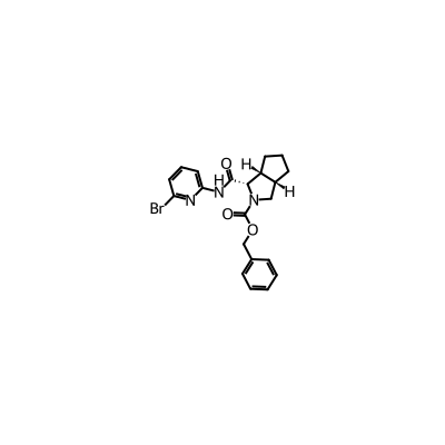 O=C(Nc1cccc(Br)n1)[C@@H]1[C@@H]2CCC[C@@H]2CN1C(=O)OCc1ccccc1